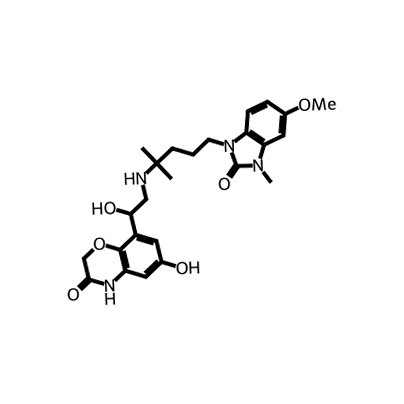 COc1ccc2c(c1)n(C)c(=O)n2CCCC(C)(C)NCC(O)c1cc(O)cc2c1OCC(=O)N2